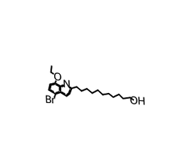 CCOc1ccc(Br)c2ccc(CCCCCCCCCCCO)nc12